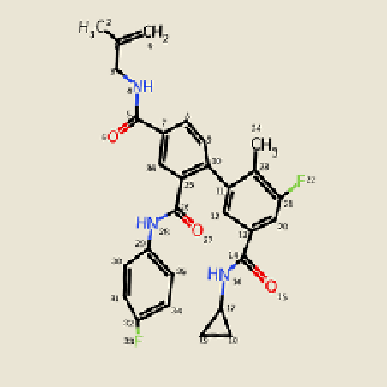 C=C(C)CNC(=O)c1ccc(-c2cc(C(=O)NC3CC3)cc(F)c2C)c(C(=O)Nc2ccc(F)cc2)c1